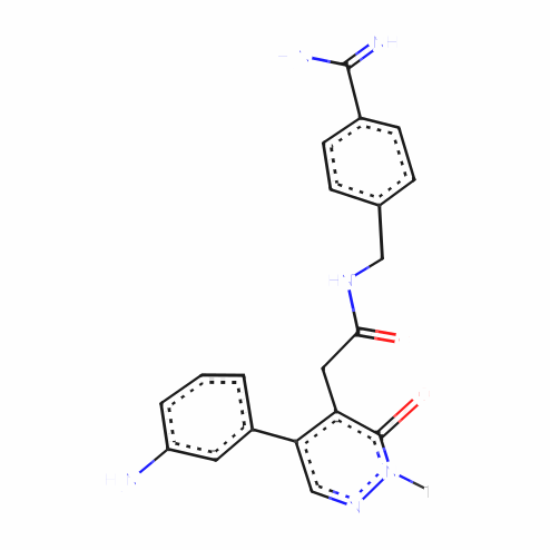 CCn1ncc(-c2cccc(N)c2)c(CC(=O)NCc2ccc(C(=N)N)cc2)c1=O